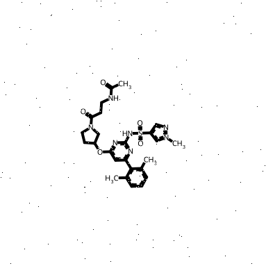 CC(=O)NCCC(=O)N1CCC(Oc2cc(-c3c(C)cccc3C)nc(NS(=O)(=O)c3cnn(C)c3)n2)C1